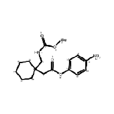 CC(C)(C)OC(=O)NCC1(CC(=O)Oc2ccc([N+](=O)[O-])cc2)CCCCC1